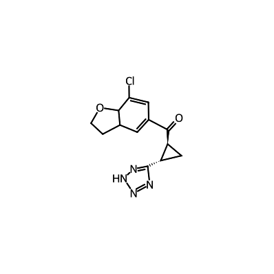 O=C(C1=CC2CCOC2C(Cl)=C1)[C@H]1C[C@@H]1c1nn[nH]n1